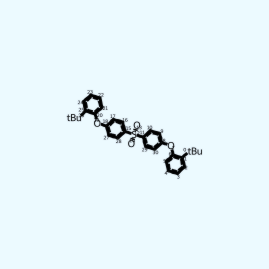 CC(C)(C)c1ccccc1Oc1ccc(S(=O)(=O)c2ccc(Oc3ccccc3C(C)(C)C)cc2)cc1